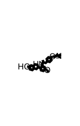 COc1ccc(C2CCc3cc(O)ccc3C2)c(NC(C)Cc2ccc(OCCN(C)C)cc2)c1